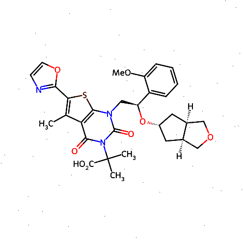 COc1ccccc1[C@H](Cn1c(=O)n(C(C)(C)C(=O)O)c(=O)c2c(C)c(-c3ncco3)sc21)O[C@@H]1C[C@H]2COC[C@H]2C1